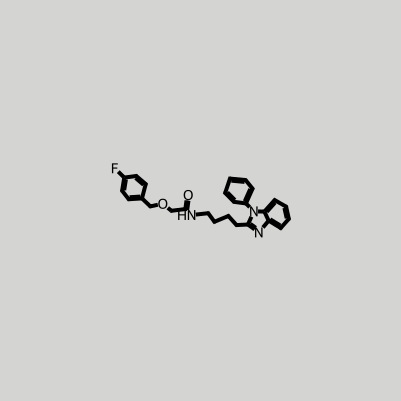 O=C(COCc1ccc(F)cc1)NCCCCc1nc2ccccc2n1-c1ccccc1